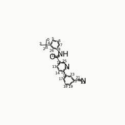 CC(C)(C)c1cccc(NC(=O)c2ccc(-c3cccc(C#N)c3)nc2)c1